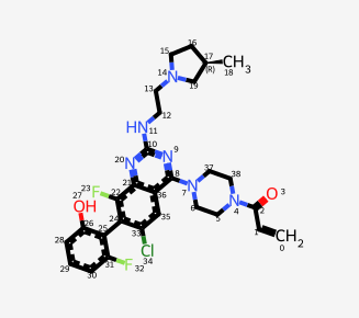 C=CC(=O)N1CCN(c2nc(NCCN3CC[C@@H](C)C3)nc3c(F)c(-c4c(O)cccc4F)c(Cl)cc23)CC1